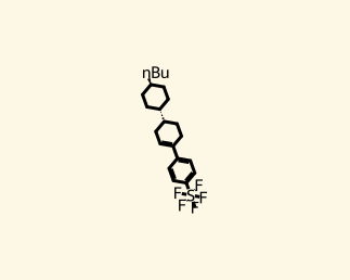 CCCC[C@H]1CC[C@H](C2CC=C(c3ccc(S(F)(F)(F)(F)F)cc3)CC2)CC1